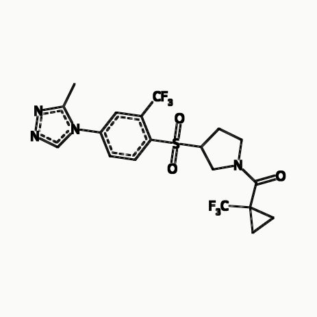 Cc1nncn1-c1ccc(S(=O)(=O)C2CCN(C(=O)C3(C(F)(F)F)CC3)C2)c(C(F)(F)F)c1